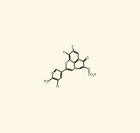 Nc1ncc(C2=Cn3cc(OC(=O)O)c(=O)c4cc(F)c(F)c(c43)O2)cc1Cl